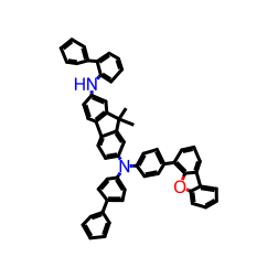 CC1(C)c2cc(Nc3ccccc3-c3ccccc3)ccc2-c2ccc(N(c3ccc(-c4ccccc4)cc3)c3ccc(-c4cccc5c4oc4ccccc45)cc3)cc21